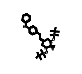 CC(C)(C)[Si](C)(C)O[C@H]1CC(=CCc2ccc(Pc3ccccc3)cc2)C[C@@H](O[Si](C)(C)C(C)(C)C)C12CO2